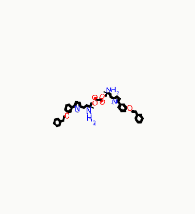 Cn1c(CC[C@@](C)(N)COC(=O)C(=O)OC[C@](C)(N)CCc2ccc(-c3cccc(OCCC4CCCCC4)c3)n2C)ccc1-c1cccc(OCCC2CCCCC2)c1